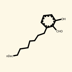 CCCCCCCCCCCCCCCCCc1cccc(O)c1C=O